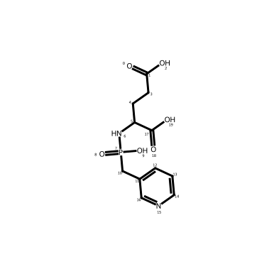 O=C(O)CCC(NP(=O)(O)Cc1cccnc1)C(=O)O